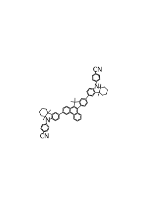 CC1(C)c2cc(-c3ccc4c(c3)C3(C)CCCCC3(C)N4c3ccc(C#N)cc3)ccc2-c2c1c1ccc(-c3ccc4c(c3)C3(C)CCCCC3(C)N4c3ccc(C#N)cc3)cc1c1ccccc21